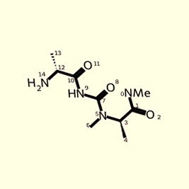 CNC(=O)[C@@H](C)N(C)C(=O)NC(=O)[C@@H](C)N